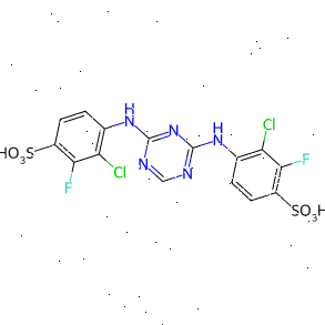 O=S(=O)(O)c1ccc(Nc2ncnc(Nc3ccc(S(=O)(=O)O)c(F)c3Cl)n2)c(Cl)c1F